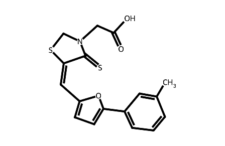 Cc1cccc(-c2ccc(C=C3SCN(CC(=O)O)C3=S)o2)c1